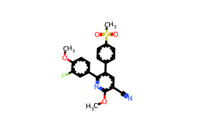 COc1ccc(-c2nc(OC)c(C#N)cc2-c2ccc(S(C)(=O)=O)cc2)cc1F